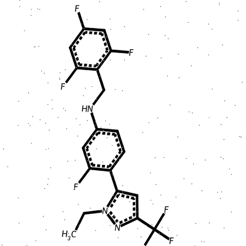 CCn1nc(C(F)(F)F)cc1-c1ccc(NCc2c(F)cc(F)cc2F)cc1F